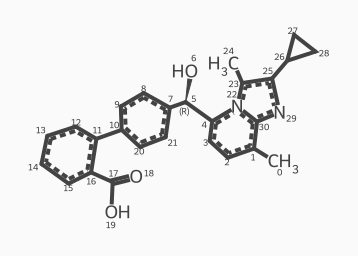 Cc1ccc([C@H](O)c2ccc(-c3ccccc3C(=O)O)cc2)n2c(C)c(C3CC3)nc12